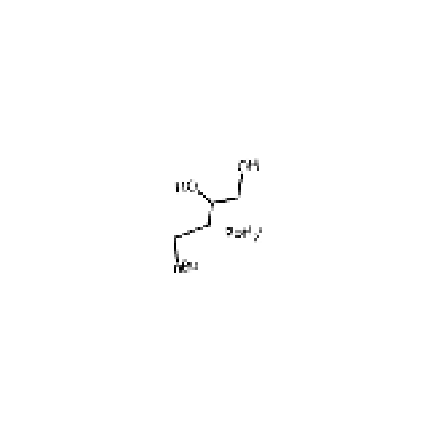 CCCCCCC(O)CO.[PbH2]